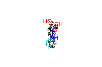 FC1C(F)(F)C(F)(F)C(F)(F)C1(F)F.N=c1ccn2c(n1)O[C@H]1[C@H](O)[C@@H](CO)O[C@H]12